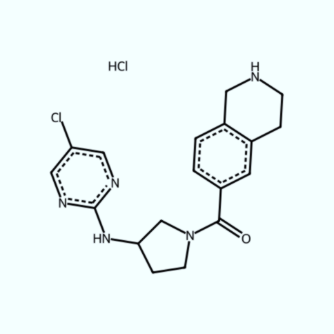 Cl.O=C(c1ccc2c(c1)CCNC2)N1CCC(Nc2ncc(Cl)cn2)C1